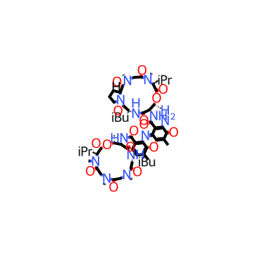 CC[C@H](C)[C@H]1NC(=O)[C@@H](NC(=O)c2ccc(C)c3oc4c(C)c(=O)c(N)c(C(=O)N[C@@H]5C(=O)N[C@H]([C@@H](C)CC)C(=O)N6CCC[C@H]6C(=O)N(C)CC(=O)N(C)[C@@H](C(C)C)C(=O)O[C@@H]5C)c-4nc23)[C@@H](C)OC(=O)[C@H](C(C)C)N(C)C(=O)CN(C)C(=O)CN(C)C1=O